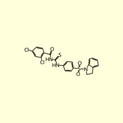 O=C(NC(=S)Nc1ccc(S(=O)(=O)N2CCc3ccccc32)cc1)c1ccc(Cl)cc1Cl